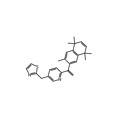 C=C(c1ccc(Cc2nccs2)cn1)c1cc2c(cc1C)C(C)(C)C=CC2(C)C